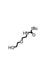 CC(C)(C)C(=O)NCCOCCO